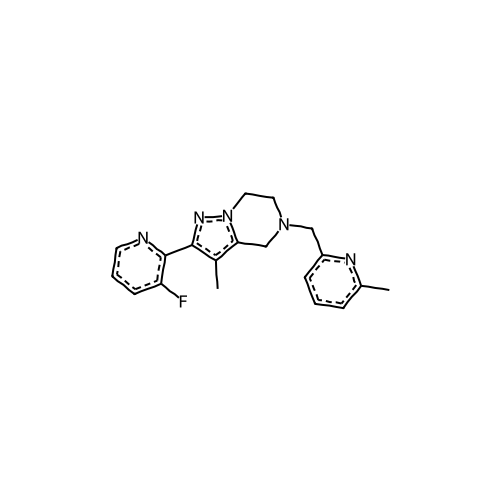 Cc1cccc(CN2CCn3nc(-c4ncccc4F)c(C)c3C2)n1